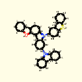 c1ccc2c(c1)oc1c2ccc2c1c1ccc(-n3c4ccccc4c4ccccc43)cc1n2-c1ccc2sc3ccccc3c2c1